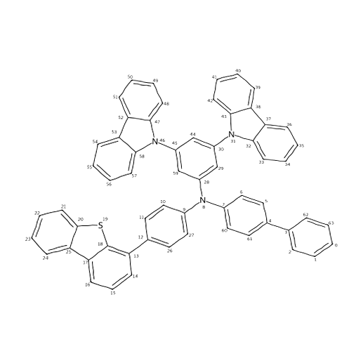 c1ccc(-c2ccc(N(c3ccc(-c4cccc5c4sc4ccccc45)cc3)c3cc(-n4c5ccccc5c5ccccc54)cc(-n4c5ccccc5c5ccccc54)c3)cc2)cc1